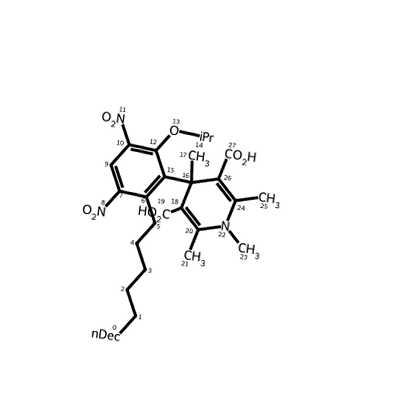 CCCCCCCCCCCCCCCc1c([N+](=O)[O-])cc([N+](=O)[O-])c(OC(C)C)c1C1(C)C(C(=O)O)=C(C)N(C)C(C)=C1C(=O)O